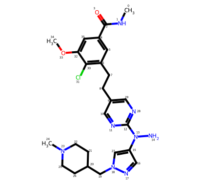 CNC(=O)c1cc(CCc2cnc(N(N)c3cnn(CC4CCN(C)CC4)c3)nc2)c(Cl)c(OC)c1